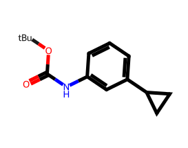 CC(C)(C)OC(=O)Nc1cccc(C2CC2)c1